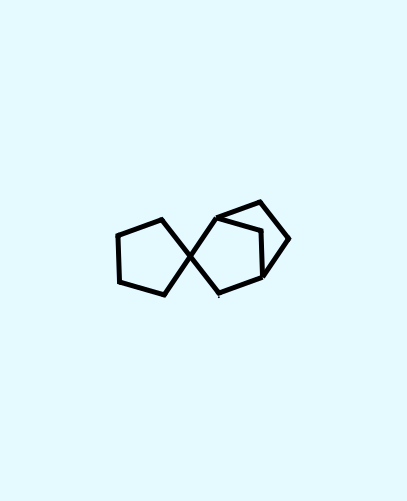 [CH]1C2CCC(C2)C12CCCC2